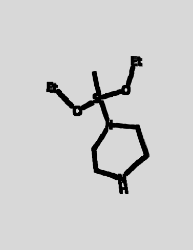 CCO[Si](C)(OCC)N1CCNCC1